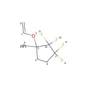 C=COC1(CCC)CCC(F)(F)C1(F)F